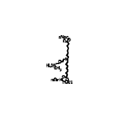 CCCCCCCCCOC(=O)CCCCCCCN(CCCCCCCC(=O)OC(CCCCCCCC)CCCCCCCC)CCOCCN(C)C